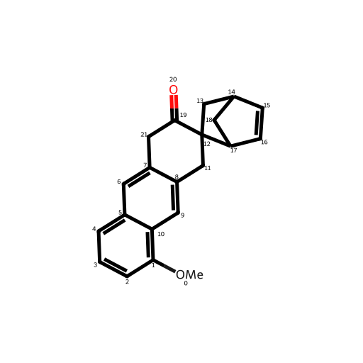 COc1cccc2cc3c(cc12)CC1(CC2C=CC1C2)C(=O)C3